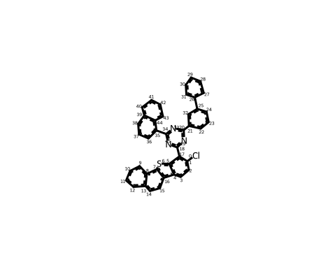 Clc1ccc2c(sc3c4ccccc4ccc23)c1-c1nc(-c2cccc(-c3ccccc3)c2)nc(-c2cccc3ccccc23)n1